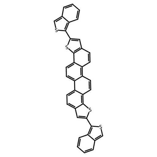 c1ccc2c(-c3cc4ccc5c6ccc7c(ccc8cc(-c9scc%10ccccc9%10)sc87)c6ccc5c4s3)scc2c1